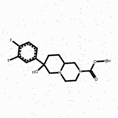 CC(C)(C)OC(=O)N1CCN2CC(O)(c3ccc(F)c(F)c3)CCC2C1